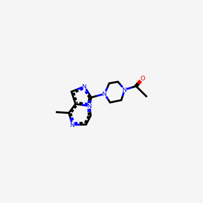 CC(=O)N1CCN(c2ncc3c(C)nccn23)CC1